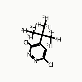 [2H]C([2H])([2H])C(c1cc(Cl)nnc1Cl)(C([2H])([2H])[2H])C([2H])([2H])[2H]